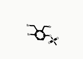 CS(=O)(=O)Oc1ccc(Br)c(CBr)c1CBr